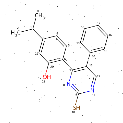 CC(C)c1ccc(-c2nc(S)ncc2-c2ccccc2)c(O)c1